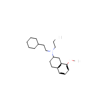 CCCN(CCC1CCCCC1)C1CCc2cccc(OC)c2C1